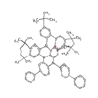 Cc1cc2c3c(c1)N(c1ccc(C(C)(C)C)cc1-c1ccc4c(c1)C(C)(C)CC4(C)C)c1cc4c(cc1B3c1cc(-c3ccccc3)ccc1N2c1ccc(-c2ccccc2)cc1)C(C)(C)CCC4(C)C